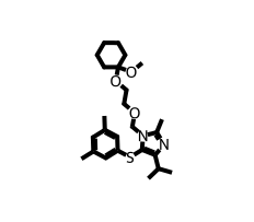 COC1(OCCOCn2c(C)nc(C(C)C)c2Sc2cc(C)cc(C)c2)CCCCC1